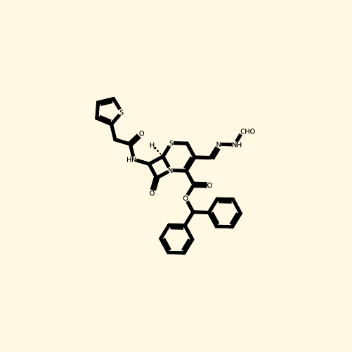 O=CN/N=C/C1=C(C(=O)OC(c2ccccc2)c2ccccc2)N2C(=O)C(NC(=O)Cc3cccs3)[C@H]2SC1